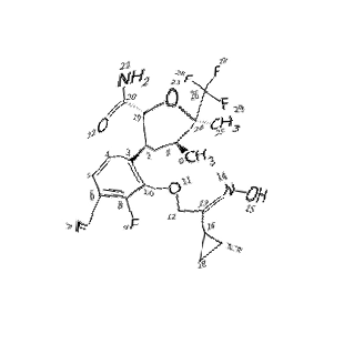 C[C@H]1[C@@H](c2ccc(F)c(F)c2OCC(=NO)C2CC2)[C@H](C(N)=O)O[C@@]1(C)C(F)(F)F